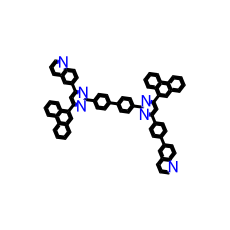 c1cnc2ccc(-c3ccc(-c4cc(-c5cc6ccccc6c6ccccc56)nc(-c5ccc(-c6ccc(-c7nc(-c8ccc9ncccc9c8)cc(-c8cc9ccccc9c9ccccc89)n7)cc6)cc5)n4)cc3)cc2c1